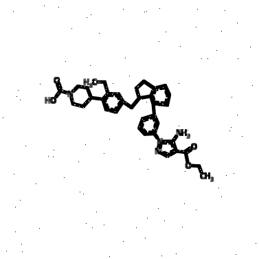 CCOC(=O)c1cnn(-c2cccc(-c3cccc4c3C(Cc3ccc(C5CCN(C(=O)O)CC5)c(CC)c3)CC4)c2)c1N